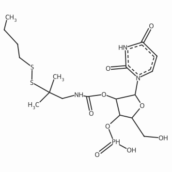 CCCCSSC(C)(C)CNC(=O)OC1C(O[PH](=O)O)C(CO)OC1n1ccc(=O)[nH]c1=O